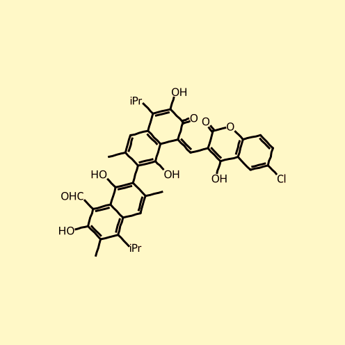 Cc1cc2c(c(O)c1-c1c(C)cc3c(C(C)C)c(C)c(O)c(C=O)c3c1O)/C(=C/c1c(O)c3cc(Cl)ccc3oc1=O)C(=O)C(O)=C2C(C)C